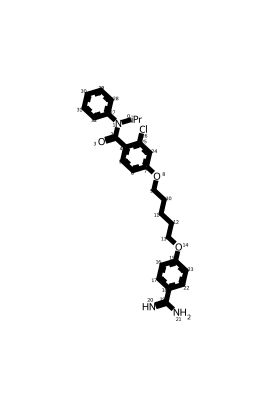 CC(C)N(C(=O)c1ccc(OCCCCCOc2ccc(C(=N)N)cc2)cc1Cl)c1ccccc1